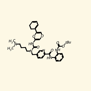 CN(C)CCCCN(Cc1ccc(C(=O)Nc2ccccc2NC(=O)OC(C)(C)C)nc1)C(=O)NC1=COC=C(C2=CC=CCC2)O1